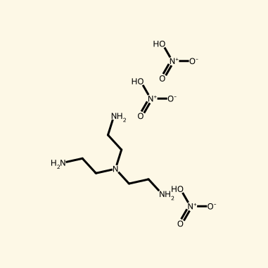 NCCN(CCN)CCN.O=[N+]([O-])O.O=[N+]([O-])O.O=[N+]([O-])O